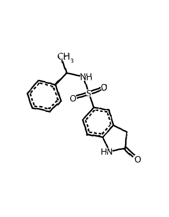 CC(NS(=O)(=O)c1ccc2c(c1)CC(=O)N2)c1ccccc1